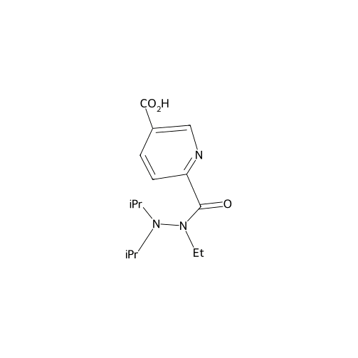 CCN(C(=O)c1ccc(C(=O)O)cn1)N(C(C)C)C(C)C